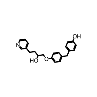 Oc1ccc(Cc2ccc(OCC(O)CCc3cccnc3)cc2)cc1